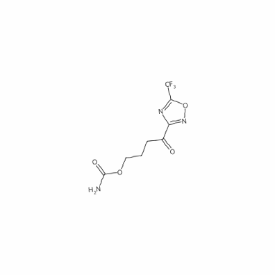 NC(=O)OCCCC(=O)c1noc(C(F)(F)F)n1